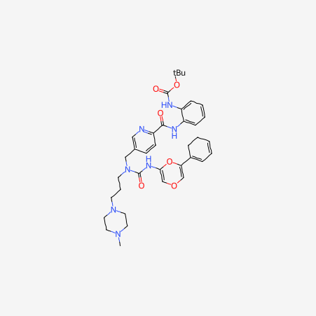 CN1CCN(CCCN(Cc2ccc(C(=O)Nc3ccccc3NC(=O)OC(C)(C)C)nc2)C(=O)NC2=COC=C(C3=CC=CCC3)O2)CC1